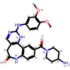 COc1ccc(NC2N=CC3=C(N2)c2cc(C(=O)N4CCC(N)CC4)ccc2NC(=O)C3)cc1OC